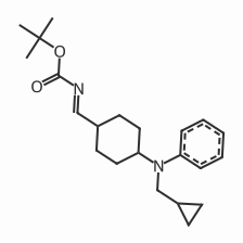 CC(C)(C)OC(=O)/N=C/C1CCC(N(CC2CC2)c2ccccc2)CC1